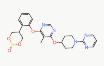 Cc1c(Oc2ccccc2C2COS(=O)OC2)ncnc1OC1CCN(c2ncccn2)CC1